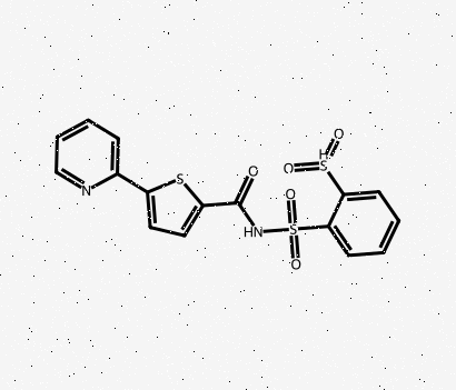 O=C(NS(=O)(=O)c1ccccc1[SH](=O)=O)c1ccc(-c2ccccn2)s1